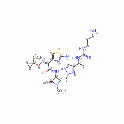 CC(NC(=N)NCCCN)c1cnn(C[C@H]2C(NC(=O)/C(=N\OC3(C(=O)O)CC3)c3csc(N)n3)C(=O)N2S(=O)(=O)O)n1